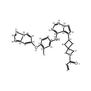 C=CC(=O)N1CC2(CC(c3ccn4ncnc(Nc5ccc(Oc6ccn7ncnc7c6)c(C)c5)c34)C2)C1